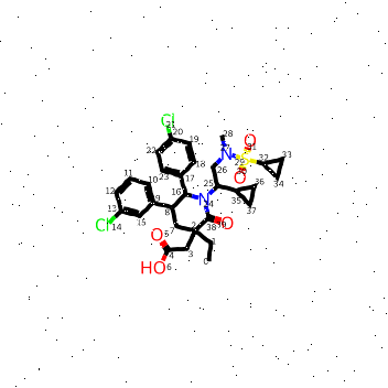 CCC1(CC(=O)O)CC(c2cccc(Cl)c2)C(c2ccc(Cl)cc2)N(C(CN(C)S(=O)(=O)C2CC2)C2CC2)C1=O